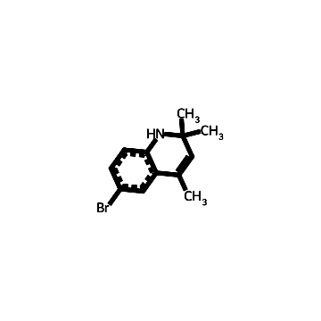 CC1=CC(C)(C)Nc2ccc(Br)cc21